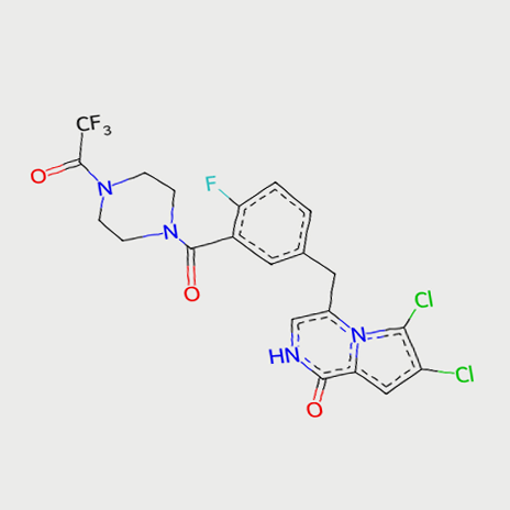 O=C(c1cc(Cc2c[nH]c(=O)c3cc(Cl)c(Cl)n23)ccc1F)N1CCN(C(=O)C(F)(F)F)CC1